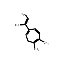 C/C=C(\C)C1=NCC(C)=C(C)C=C1